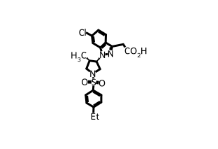 CCc1ccc(S(=O)(=O)N2C[C@@H](C)[C@@H](n3nc(CC(=O)O)c4ccc(Cl)cc43)C2)cc1